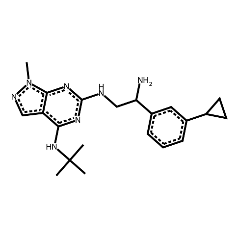 Cn1ncc2c(NC(C)(C)C)nc(NCC(N)c3cccc(C4CC4)c3)nc21